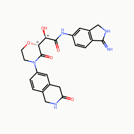 N=C1NCc2cc(NC(=O)[C@H](O)[C@H]3OCCN(c4ccc5c(c4)CC(=O)NC5)C3=O)ccc21